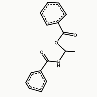 CC(NC(=O)c1ccccc1)OC(=O)c1ccccc1